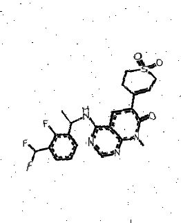 C[C@@H](Nc1ncnc2c1cc(C1=CCS(=O)(=O)CC1)c(=O)n2C)c1cccc(C(F)F)c1F